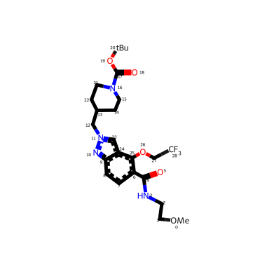 COCCNC(=O)c1ccc2nn(CC3CCN(C(=O)OC(C)(C)C)CC3)cc2c1OCC(F)(F)F